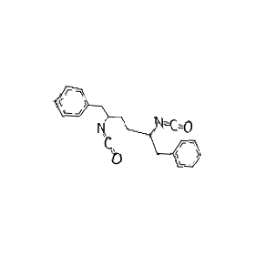 O=C=NC(CCC(Cc1ccccc1)N=C=O)Cc1ccccc1